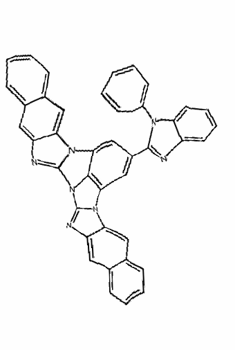 c1ccc(-n2c(-c3cc4c5c(c3)n3c6cc7ccccc7cc6nc3n5c3nc5cc6ccccc6cc5n43)nc3ccccc32)cc1